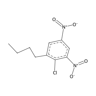 CCCCc1cc([N+](=O)[O-])cc([N+](=O)[O-])c1Cl